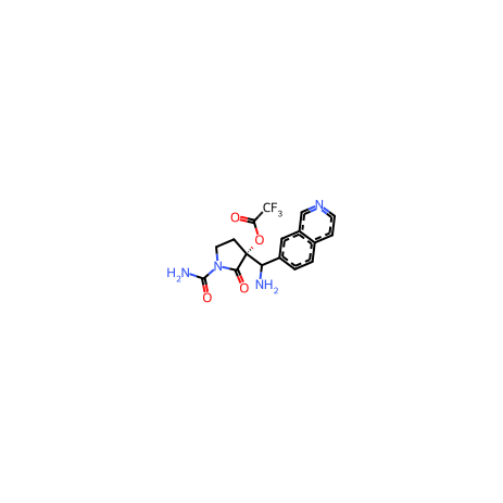 NC(=O)N1CC[C@@](OC(=O)C(F)(F)F)(C(N)c2ccc3ccncc3c2)C1=O